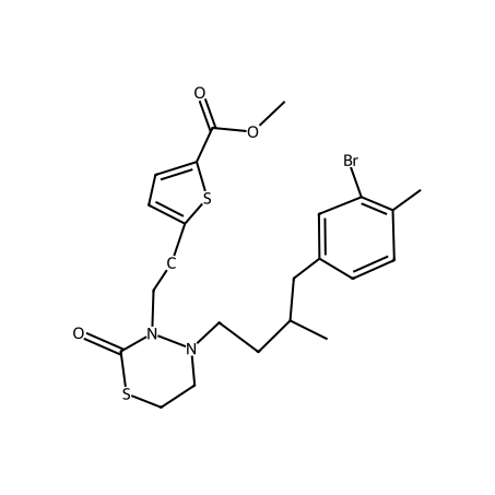 COC(=O)c1ccc(CCN2C(=O)SCCN2CCC(C)Cc2ccc(C)c(Br)c2)s1